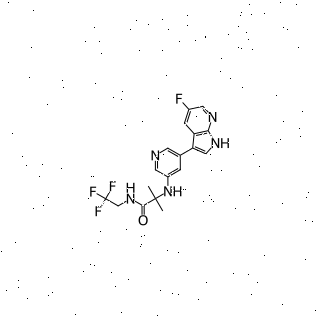 CC(C)(Nc1cncc(-c2c[nH]c3ncc(F)cc23)c1)C(=O)NCC(F)(F)F